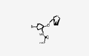 O=C(O)NCc1cc(Br)ccc1OCc1cccnc1